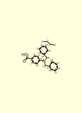 CCCC.O=C(O)c1ccc(N(Cc2ccccc2)Cc2ccccc2)cc1